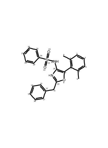 Cc1cccc(C)c1-c1oc(Cc2ccccc2)nc1NS(=O)(=O)c1ccccc1